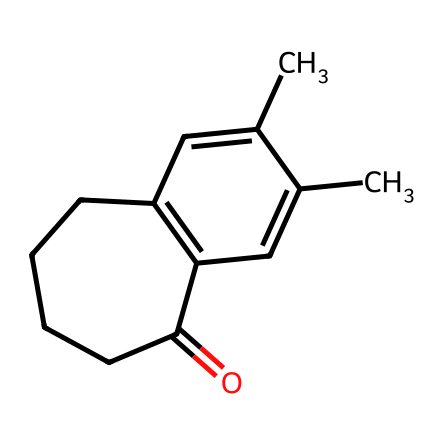 Cc1cc2c(cc1C)C(=O)CCCC2